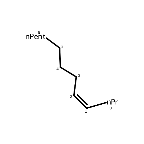 [CH2]CC/C=C\CCCCCCCC